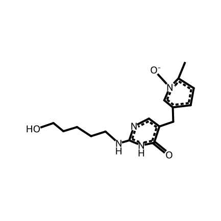 Cc1ccc(Cc2cnc(NCCCCCO)[nH]c2=O)c[n+]1[O-]